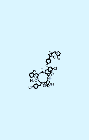 C[C@H]1C(=O)N[C@@H](CO)C(=O)N(C)C(Cc2ccc(Cl)cc2)CN(C)C(=O)[C@H]([C@H]2CCc3ccccc32)CC(=O)N1Cc1ccc(Cl)cc1Oc1ccc(-c2cnc(CN3CCCC3)n2C)cc1